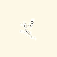 CN1CCN(C(=O)NS(=O)(=O)N(C)CCN(CC(=O)NO)S(=O)(=O)c2cc(F)c(Oc3ccc(Cl)cc3)c(F)c2)CC1